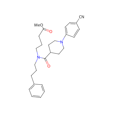 COC(=O)CCCN(CCCc1ccccc1)C(=O)C1CCN(c2ccc(C#N)cc2)CC1